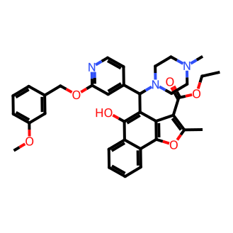 CCOC(=O)c1c(C)oc2c1c(C(c1ccnc(OCc3cccc(OC)c3)c1)N1CCN(C)CC1)c(O)c1ccccc12